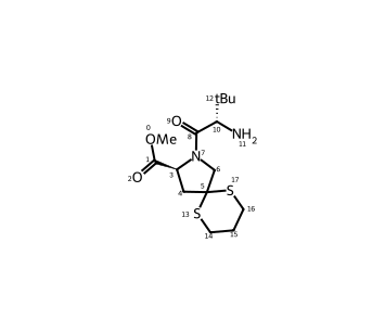 COC(=O)[C@@H]1CC2(CN1C(=O)[C@@H](N)C(C)(C)C)SCCCS2